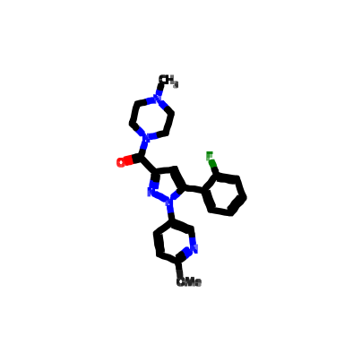 COc1ccc(-n2nc(C(=O)N3CCN(C)CC3)cc2-c2ccccc2F)cn1